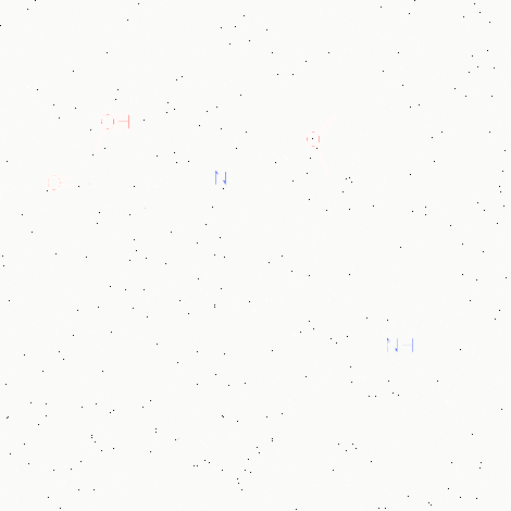 COc1cc(C)c2[nH]ccc2c1CN1CCCC[C@H]1C1(C(=O)O)C=CC(C2CC2)=CC1